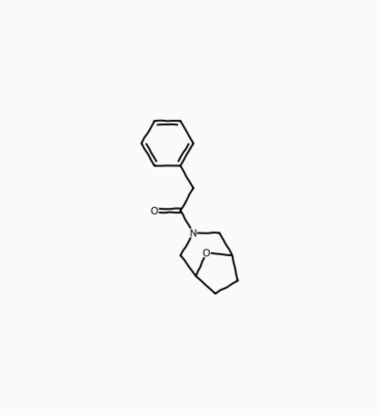 O=C(Cc1ccccc1)N1CC2CCC(C1)O2